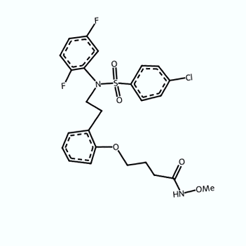 CONC(=O)CCCOc1ccccc1CCN(c1cc(F)ccc1F)S(=O)(=O)c1ccc(Cl)cc1